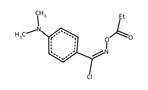 CCC(=O)O/N=C(/Cl)c1ccc(N(C)C)cc1